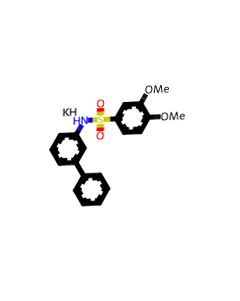 COc1ccc(S(=O)(=O)Nc2cccc(-c3ccccc3)c2)cc1OC.[KH]